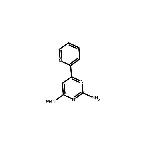 CNc1cc(-c2ccccn2)nc(N)n1